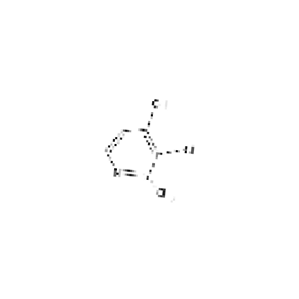 Cc1nccc(O)c1Cl